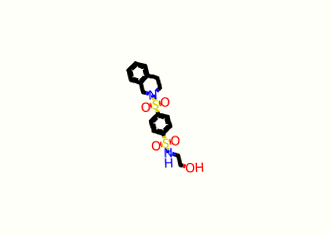 O=S(=O)(NCCO)c1ccc(S(=O)(=O)N2CCc3ccccc3C2)cc1